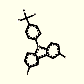 FC(F)(F)c1ccc(-n2c3ccc(I)cc3c3cc(I)ccc32)cc1